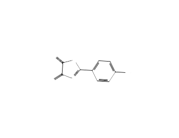 C=C1N=C(c2ccc(C(C)(C)C)cc2)OC1=O